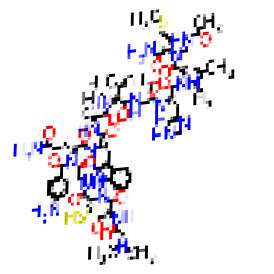 CSCC[C@@H](C(N)=O)N(CNC(C)=O)C(=O)[C@H](CC(C)C)NC(=O)[C@H](Cc1c[nH]cn1)NC(=O)CNC(=O)[C@@H](NC(=O)[C@H](C)NC(=O)[C@H](Cc1c[nH]c2ccccc12)NC(=O)[C@H](CCC(N)=O)N(C(=O)CNC(=O)[C@H](CS)NC(=O)[C@H](CO)NC(=O)CN(C)C)C(=O)c1ccc(N)cc1)C(C)C